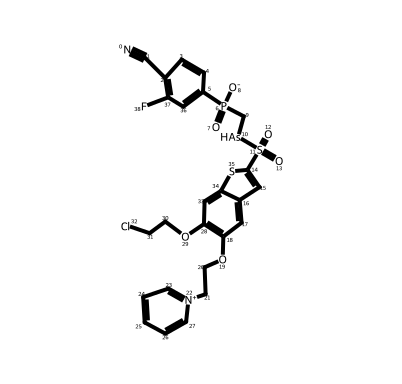 N#Cc1ccc(P(=O)([O-])C[AsH]S(=O)(=O)c2cc3cc(OCC[n+]4ccccc4)c(OCCCl)cc3s2)cc1F